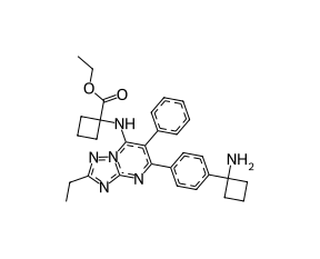 CCOC(=O)C1(Nc2c(-c3ccccc3)c(-c3ccc(C4(N)CCC4)cc3)nc3nc(CC)nn23)CCC1